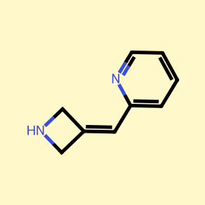 C(=C1CNC1)c1ccccn1